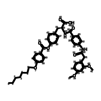 CCCCCCCOc1ccc(C(=O)Oc2ccc(C[C@H](NC(=O)c3ccc(NC(=O)Cc4ccc(OC)cc4OC)cc3)C(=O)O)cc2)cc1